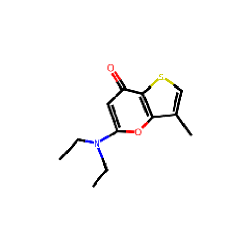 CCN(CC)c1cc(=O)c2scc(C)c2o1